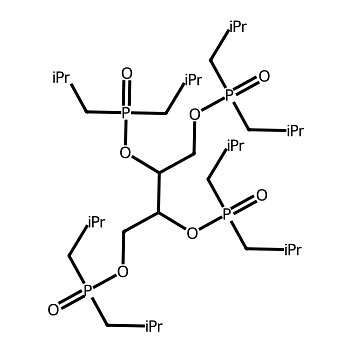 CC(C)CP(=O)(CC(C)C)OCC(OP(=O)(CC(C)C)CC(C)C)C(COP(=O)(CC(C)C)CC(C)C)OP(=O)(CC(C)C)CC(C)C